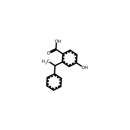 CC(c1ccccc1)c1cc(O)ccc1C(=O)O